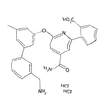 Cc1cc(Oc2cc(C(N)=O)cc(-c3ccccc3C(=O)O)n2)cc(-c2cccc(CN)c2)c1.Cl.Cl